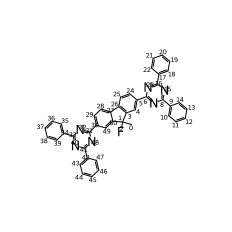 CC1(F)c2cc(-c3nc(-c4ccccc4)nc(-c4ccccc4)n3)ccc2-c2ccc(-c3nc(-c4ccccc4)nc(-c4ccccc4)n3)cc21